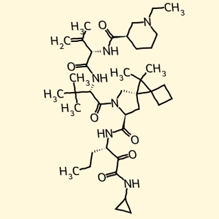 C=C(C)[C@H](NC(=O)[C@@H]1CCCN(CC)C1)C(=O)N[C@H](C(=O)N1C[C@]2(C[C@H]1C(=O)N[C@@H](CCC)C(=O)C(=O)NC1CC1)C(C)(C)C21CCC1)C(C)(C)C